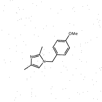 COc1ccc(Cn2cc(C)nc2C)cc1